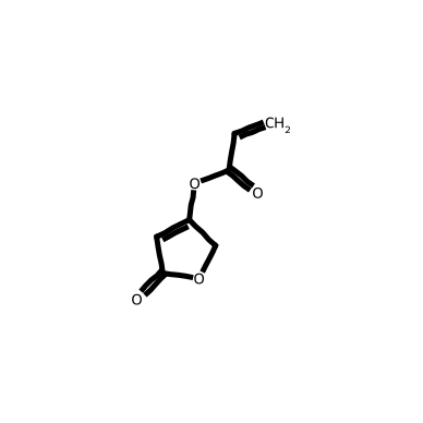 C=CC(=O)OC1=CC(=O)OC1